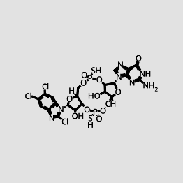 Nc1nc2c(ncn2[C@@H]2O[C@@H]3COP(=O)(S)OC4C(O)[C@H](n5c(Cl)nc6cc(Cl)c(Cl)cc65)O[C@@H]4COP(=O)(S)OC2C3O)c(=O)[nH]1